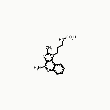 Cc1nc2c(N)nc3ccccc3c2n1CCCNC(=O)O